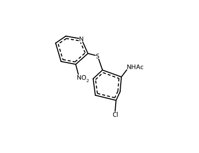 CC(=O)Nc1cc(Cl)ccc1Sc1ncccc1[N+](=O)[O-]